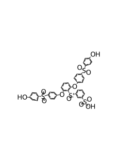 O=S(=O)(O)c1cccc([S+]([O-])c2c(Oc3ccc(S(=O)(=O)c4ccc(O)cc4)cc3)cccc2Oc2ccc(S(=O)(=O)c3ccc(O)cc3)cc2)c1